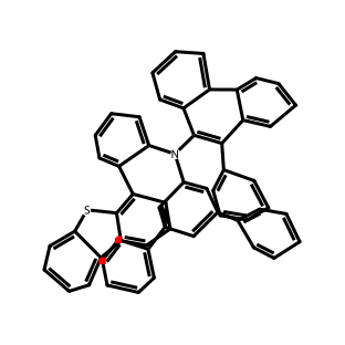 c1ccc(-c2cc(-c3ccccc3)cc(N(c3ccccc3-c3cccc4c3sc3ccccc34)c3c(-c4ccccc4)c4ccccc4c4ccccc34)c2)cc1